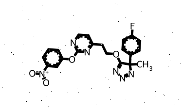 CC1(c2ccc(F)cc2)N=NN=C1OCCc1ccnc(Oc2cccc([N+](=O)[O-])c2)n1